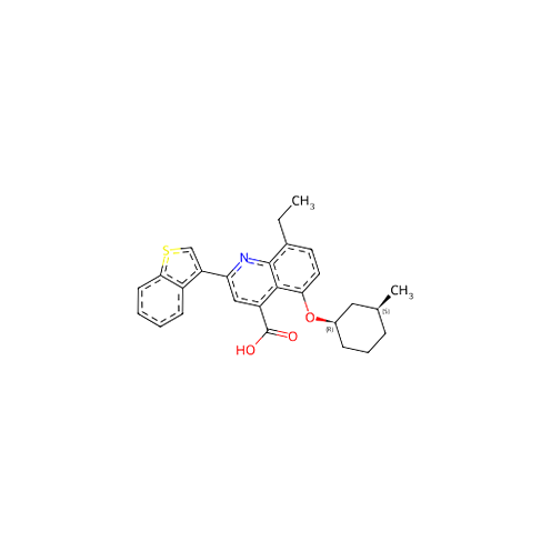 CCc1ccc(O[C@@H]2CCC[C@H](C)C2)c2c(C(=O)O)cc(-c3csc4ccccc34)nc12